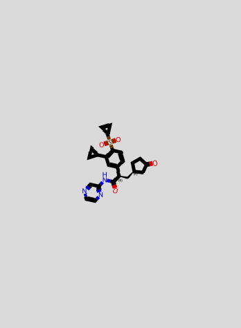 O=C1CC[C@H](C[C@@H](C(=O)Nc2cnccn2)c2ccc(S(=O)(=O)C3CC3)c(C3CC3)c2)C1